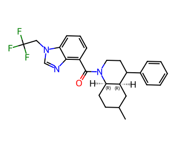 CC1CC[C@@H]2[C@H](C1)C(c1ccccc1)CCN2C(=O)c1cccc2c1ncn2CC(F)(F)F